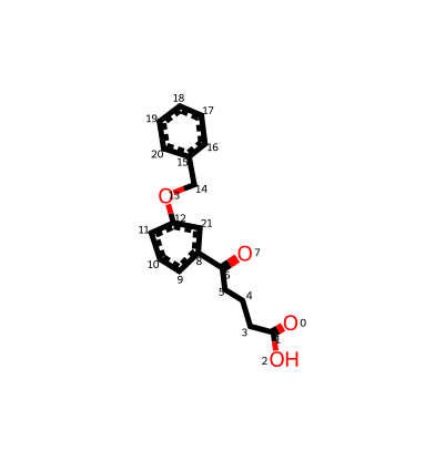 O=C(O)CCCC(=O)c1cccc(OCc2ccccc2)c1